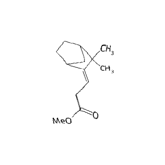 COC(=O)CC=C1C2CCC(C2)C1(C)C